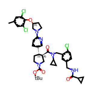 Cc1cc(Cl)c(O[C@H]2CCN(c3ccc([C@H]4CCN(C(=O)OC(C)(C)C)C[C@@H]4C(=O)N(Cc4cc(CNC(=O)C5CC5)ccc4Cl)C4CC4)cn3)C2)c(Cl)c1